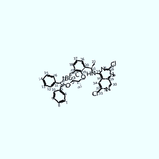 C[C@H](CO[Si](c1ccccc1)(c1ccccc1)C(C)(C)C)Oc1c([C@@H](C)Nc2nc(Cl)nc3cnc(Cl)cc23)cccc1C(F)(F)F